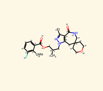 CCc1nn(C[C@@H](C)COC(=O)c2cccc(F)c2OC)c2c1C(=O)NCC1(CCOCC1)C2